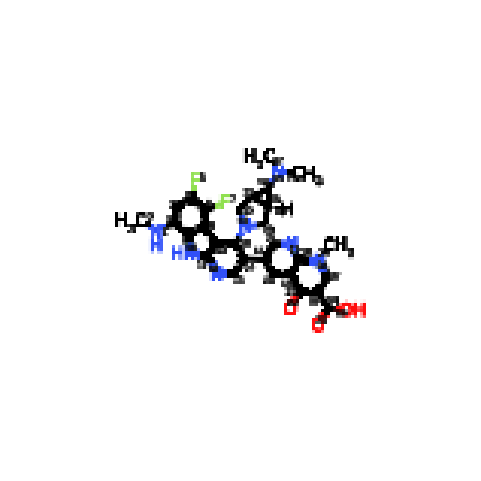 CNc1cc(F)c(F)c2c1[nH]c1ncc(-c3cnc4c(c3)c(=O)c(C(=O)O)cn4C)c(N3CC4C(N(C)C)[C@H]4C3)c12